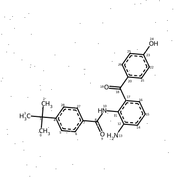 CC(C)(C)c1ccc(C(=O)Nc2c(N)cccc2C(=O)c2ccc(O)cc2)cc1